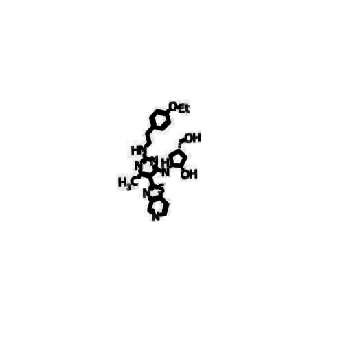 CCOc1ccc(CCNc2nc(C)c(-c3nc4cnccc4s3)c(N[C@@H]3C[C@H](CO)C[C@H]3O)n2)cc1